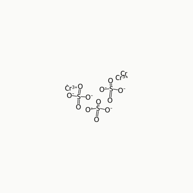 O=S(=O)([O-])[O-].O=S(=O)([O-])[O-].O=S(=O)([O-])[O-].[Cr+3].[Cr+3].[Cr]